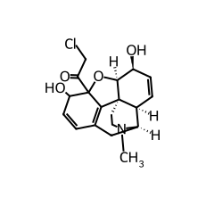 CN1CC[C@]23C4=C5C=CC(O)C4(C(=O)CCl)O[C@H]2[C@@H](O)C=C[C@H]3[C@H]1C5